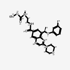 C[C@@H](Oc1cccc(F)c1)c1cc(C(=O)NCCN(C)C(=O)OC(C)(C)C)cc2ncc(N3CCOCC3)nc12